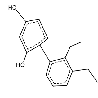 CCc1cccc(-c2ccc(O)cc2O)c1CC